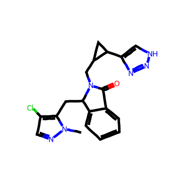 Cn1ncc(Cl)c1CC1c2ccccc2C(=O)N1CC1CC1c1c[nH]nn1